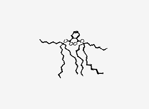 CCCCCCCCCCC(CCCCCCC)(CCCCCCCCC)OC(=O)c1ccccc1C(=O)OC(CCCCCCC)(CCCCCCCCC)CCCCCCCCCC